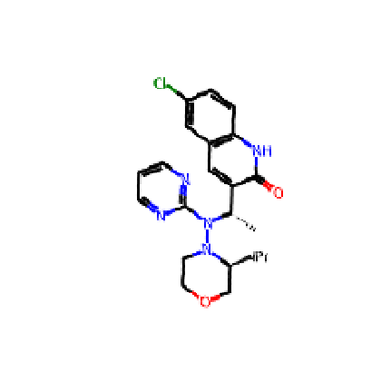 CC(C)[C@H]1COCCN1N(c1ncccn1)[C@@H](C)c1cc2cc(Cl)ccc2[nH]c1=O